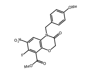 COC(=O)c1c(F)c([N+](=O)[O-])cc2c1OCC(=O)N2Cc1ccc(OC)cc1